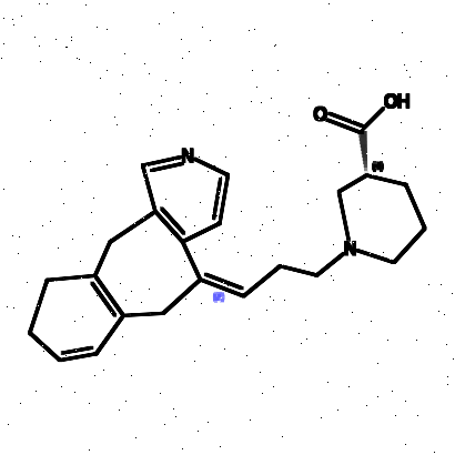 O=C(O)[C@@H]1CCCN(CC/C=C2/CC3=C(CCC=C3)Cc3cnccc32)C1